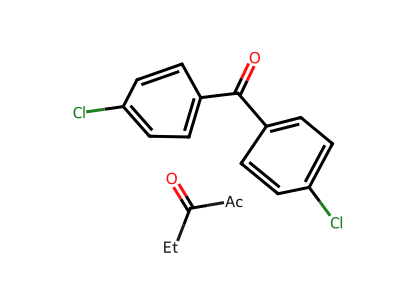 CCC(=O)C(C)=O.O=C(c1ccc(Cl)cc1)c1ccc(Cl)cc1